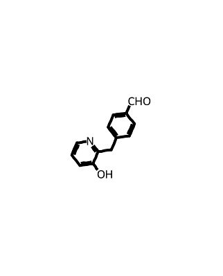 O=Cc1ccc(Cc2ncccc2O)cc1